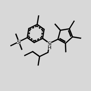 CCC(C)C[SiH](C1=C(C)C(C)=C(C)C1C)c1cc(C)cc([Si](C)(C)C)c1